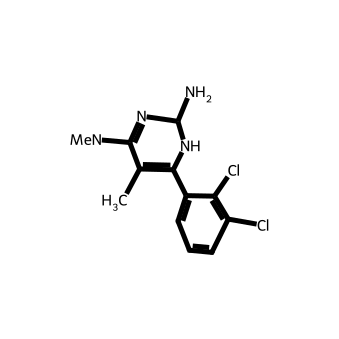 CNC1=NC(N)NC(c2cccc(Cl)c2Cl)=C1C